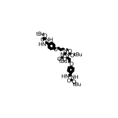 CN(CCCOc1ccc(C(=N)NC(=O)OC(C)(C)C)cc1)/C(=N/C(=O)OC(C)(C)C)N(CCCOc1ccc(C(=N)NC(=O)OC(C)(C)C)cc1)C(=O)OC(C)(C)C